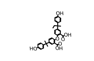 CCC(C)(c1ccc(O)cc1)c1ccc(Oc2ccc(C(C)(C)c3ccc(O)cc3)cc2C(=O)O)c(C(=O)O)c1